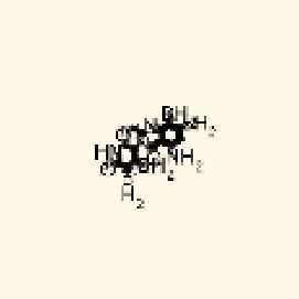 Bc1cc(N)c2c(=O)n(C3C(=O)NC(=O)C(B)C3B)c(C)nc2c1B